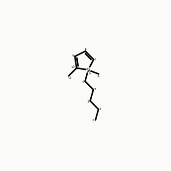 CCCCC[Si]1(C)C=CC=C1C